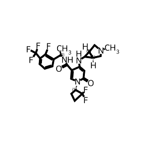 C[C@@H](NC(=O)c1cn([C@H]2CCC2(F)F)c(=O)cc1NC1[C@H]2CN(C)C[C@@H]12)c1cccc(C(F)(F)F)c1F